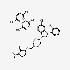 CC(C)N1CCN(CCN2CCN([C@H]3C[C@H](c4ccccc4F)c4cc(Cl)ccc43)CC2)C1=O.O=C(O)/C=C\C(=O)O.O=C(O)/C=C\C(=O)O